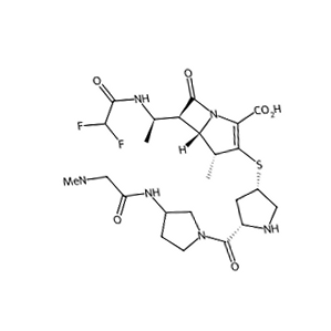 CNCC(=O)NC1CCN(C(=O)[C@@H]2C[C@H](SC3=C(C(=O)O)N4C(=O)[C@H]([C@@H](C)NC(=O)C(F)F)[C@H]4[C@H]3C)CN2)C1